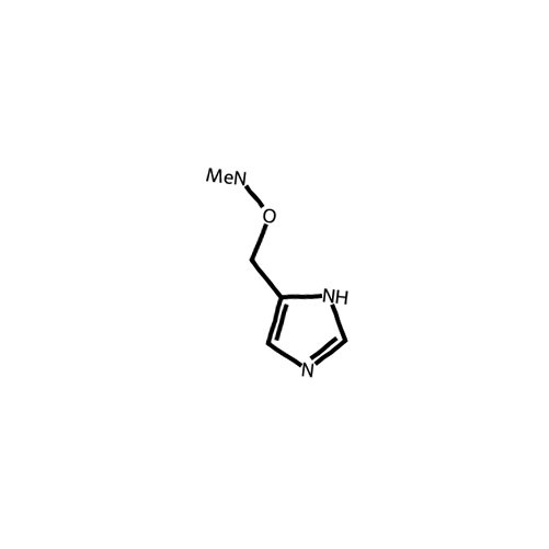 CNOCc1cnc[nH]1